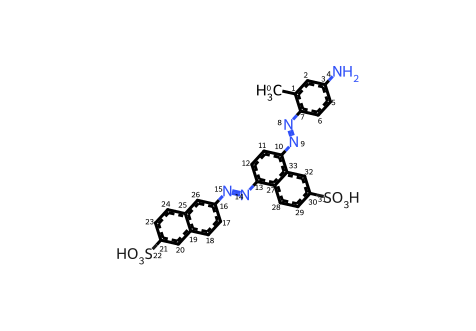 Cc1cc(N)ccc1N=Nc1ccc(N=Nc2ccc3cc(S(=O)(=O)O)ccc3c2)c2ccc(S(=O)(=O)O)cc12